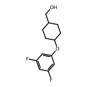 OCC1CCC(Oc2cc(F)cc(F)c2)CC1